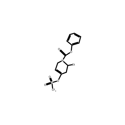 CCC1CC(OS(=O)(=O)C(F)(F)F)=CCN1C(=O)Oc1ccccc1